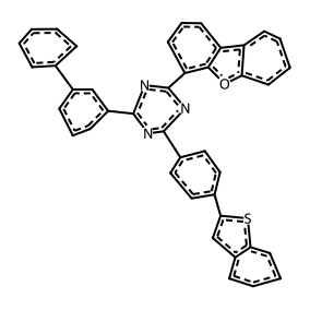 c1ccc(-c2cccc(-c3nc(-c4ccc(-c5cc6ccccc6s5)cc4)nc(-c4cccc5c4oc4ccccc45)n3)c2)cc1